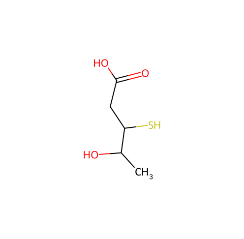 CC(O)C(S)CC(=O)O